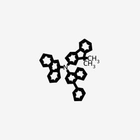 CC1(C)c2ccccc2-c2ccc(N(c3ccc(-c4ccccc4)c4ccccc34)c3cc4ccccc4c4ccccc34)cc21